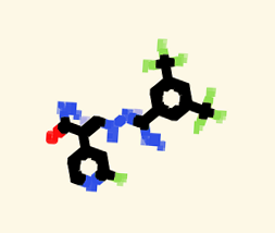 NC(=O)/C(=C/N/N=C(\N)c1cc(C(F)(F)F)cc(C(F)(F)F)c1)c1ccnc(F)c1